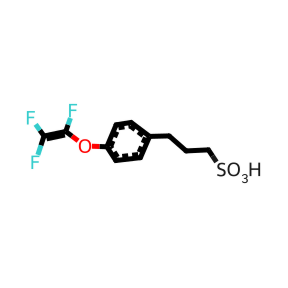 O=S(=O)(O)CCCc1ccc(OC(F)=C(F)F)cc1